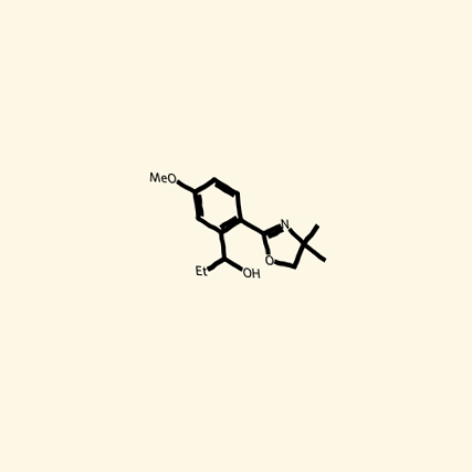 CCC(O)c1cc(OC)ccc1C1=NC(C)(C)CO1